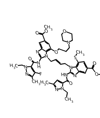 CCn1nc(C)cc1C(=O)Nc1nc2cc(C(=O)OC)cc(SC)c2n1CC=CCn1c(NC(=O)c2c(F)c(C)nn2CC)nc2cc(C(=O)OC)cc(OCCCN3CCOCC3)c21